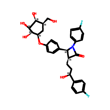 O=C1[C@H](CC[C@H](O)c2ccc(F)cc2)[C@@H](c2ccc(O[C@@H]3C[C@H](CO)[C@@H](O)[C@H](O)[C@H]3O)cc2)N1c1ccc(F)cc1